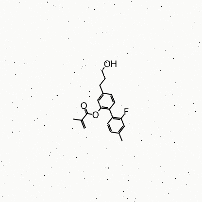 C=C(C)C(=O)Oc1cc(CCCO)ccc1-c1ccc(C)cc1F